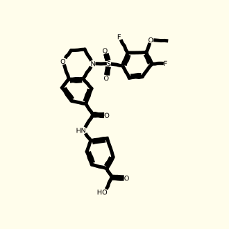 COc1c(F)ccc(S(=O)(=O)N2CCOc3ccc(C(=O)Nc4ccc(C(=O)O)cc4)cc32)c1F